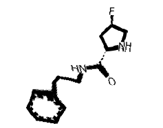 O=C(NCCc1ccccc1)[C@@H]1C[C@@H](F)CN1